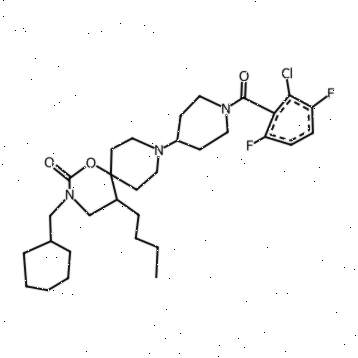 CCCCC1CN(CC2CCCCC2)C(=O)OC12CCN(C1CCN(C(=O)c3c(F)ccc(F)c3Cl)CC1)CC2